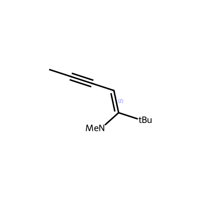 CC#C/C=C(\NC)C(C)(C)C